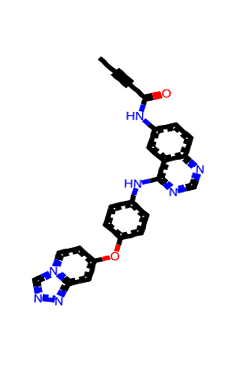 CC#CC(=O)Nc1ccc2ncnc(Nc3ccc(Oc4ccn5cnnc5c4)cc3)c2c1